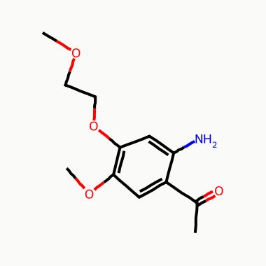 COCCOc1cc(N)c(C(C)=O)cc1OC